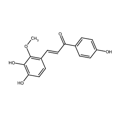 COc1c(C=CC(=O)c2ccc(O)cc2)ccc(O)c1O